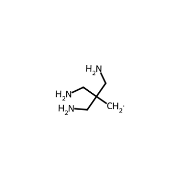 [CH2]C(CN)(CN)CN